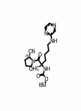 CC(C)(C)OC(=O)N[C@@](C=O)(CCCCNc1cnccn1)C(=O)N1CCC[C@H]1C#N